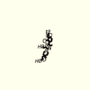 Cc1nc(N2CCC3(CC2)CO[C@@H](O)C3)c(CO)nc1-c1ccc2c(c1Cl)OC(F)(F)O2